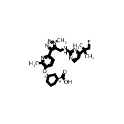 Cc1nc(-c2nnn(C)c2CNc2nccc(C(C)(C)CF)n2)ccc1O[C@H]1CCC[C@H](C(=O)O)C1